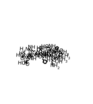 CC(C)[C@H](NC(=O)[C@@H]1CCCN1C(=O)[C@H](CO)NC(=O)[C@@H](N)CO)C(=O)N[C@H](C(=O)N[C@@H](CCCCN)C(=O)N[C@@H](CO)C(=O)N[C@@H](Cc1ccccc1)C(=O)N[C@@H](CC(N)=O)C(=O)N[C@@H](CCCNC(=N)N)C(=O)NCC(=O)N[C@@H](CCC(=O)O)C(=O)N[C@@H](CS)C(=O)O)[C@@H](C)O